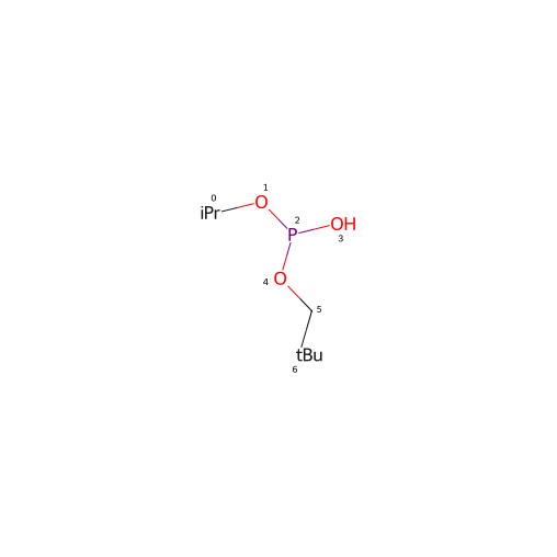 CC(C)OP(O)OCC(C)(C)C